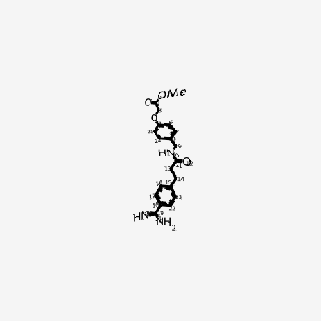 COC(=O)COc1ccc(CNC(=O)CCc2ccc(C(=N)N)cc2)cc1